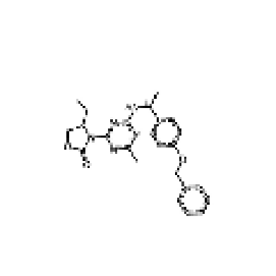 CCC1COC(=O)N1c1nc(C)nc(N[C@@H](C)c2ccc(OCc3ccccc3)cc2)n1